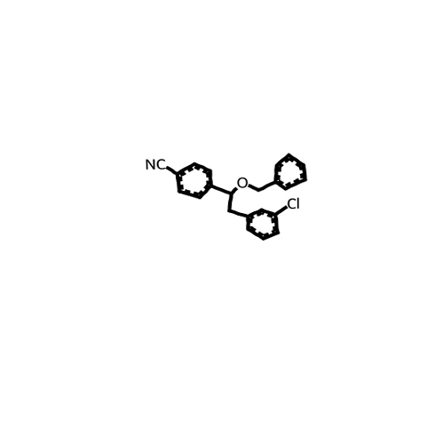 N#Cc1ccc(C(Cc2cccc(Cl)c2)OCc2ccccc2)cc1